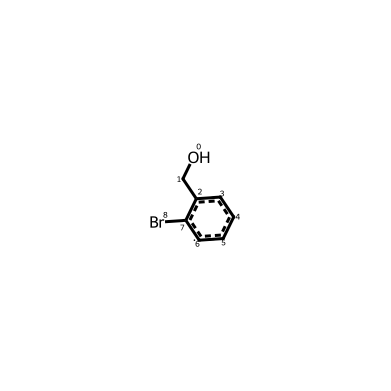 OCc1ccc[c]c1Br